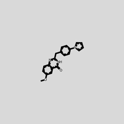 COc1ccc2nc(Cc3ccc(-n4cccc4)cc3)[nH]c(=O)c2c1